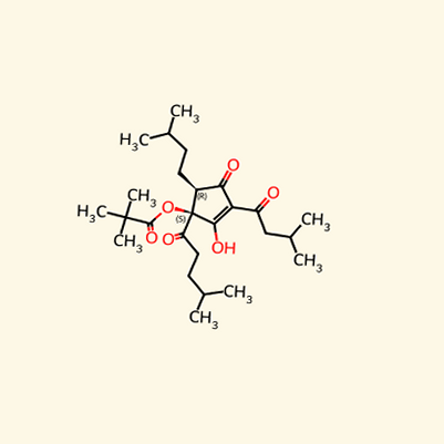 CC(C)CCC(=O)[C@@]1(OC(=O)C(C)(C)C)C(O)=C(C(=O)CC(C)C)C(=O)[C@@H]1CCC(C)C